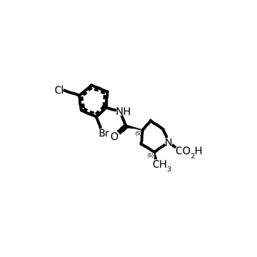 C[C@H]1C[C@@H](C(=O)Nc2ccc(Cl)cc2Br)CCN1C(=O)O